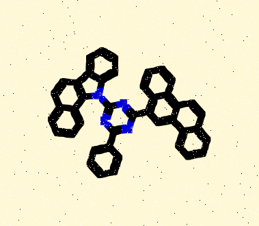 c1ccc(-c2nc(-c3cc4c5ccccc5ccc4c4ccccc34)nc(-n3c4ccccc4c4ccc5ccccc5c43)n2)cc1